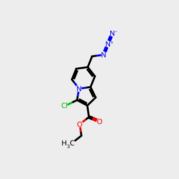 CCOC(=O)c1cc2cc(CN=[N+]=[N-])ccn2c1Cl